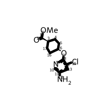 COC(=O)[C@H]1CC[C@H](Oc2ncc(N)cc2Cl)CC1